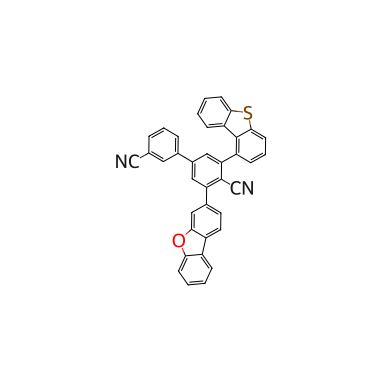 N#Cc1cccc(-c2cc(-c3ccc4c(c3)oc3ccccc34)c(C#N)c(-c3cccc4sc5ccccc5c34)c2)c1